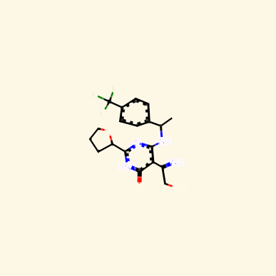 CC(Nc1nc(C2CCCO2)[nH]c(=O)c1C(=N)CO)c1ccc(C(F)(F)F)cc1